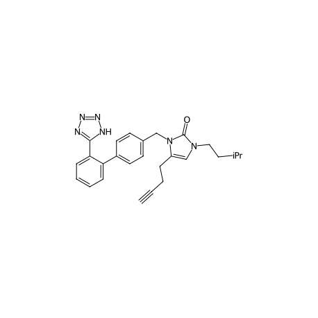 C#CCCc1cn(CCC(C)C)c(=O)n1Cc1ccc(-c2ccccc2-c2nnn[nH]2)cc1